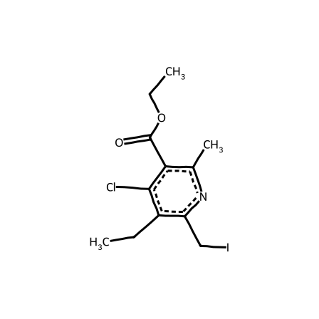 CCOC(=O)c1c(C)nc(CI)c(CC)c1Cl